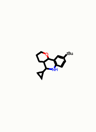 CC(C)(C)c1ccc2c(c1)C1OCCCC1C(C1CC1)N2